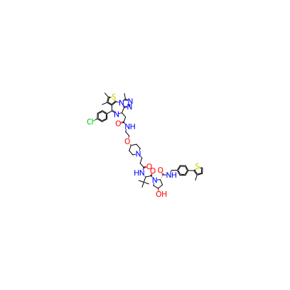 Cc1ccsc1-c1ccc(CNC(=O)[C@@H]2C[C@@H](O)CN2C(=O)[C@@H](NC(=O)CCN2CCC(OCCNC(=O)CC3N=C(c4ccc(Cl)cc4)c4c(sc(C)c4C)-n4c(C)nnc43)CC2)C(C)(C)C)cc1